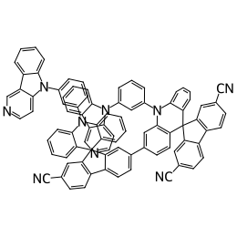 N#Cc1ccc2c(c1)C1(c3cc(C#N)ccc3-2)c2ccccc2N(c2cccc(-n3c4ccccc4c4cnccc43)c2)c2cc(-c3ccc4c(c3)C3(c5cc(C#N)ccc5-4)c4ccccc4N(c4cccc(-n5c6ccccc6c6cnccc65)c4)c4ccccc43)ccc21